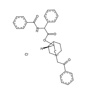 O=C(C[N+]12CCC(CC1)[C@@H](OC(=O)C(NC(=O)c1ccccc1)c1ccccc1)C2)c1ccccc1.[Cl-]